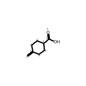 C=C1CCC(C(=O)O)CC1